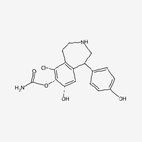 NC(=O)Oc1c(O)cc2c(c1Cl)CCNCC2c1ccc(O)cc1